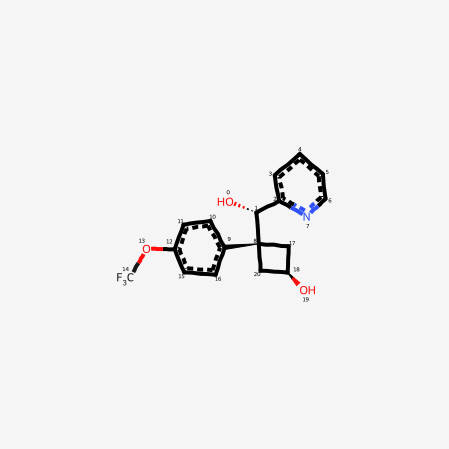 O[C@H](c1ccccn1)[C@]1(c2ccc(OC(F)(F)F)cc2)C[C@@H](O)C1